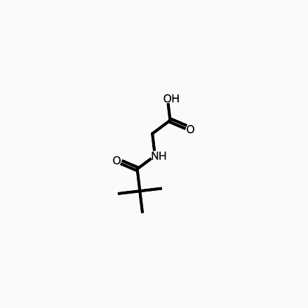 CC(C)(C)C(=O)NCC(=O)O